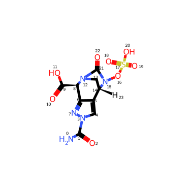 NC(=O)n1cc2c(n1)[C@@H](C(=O)O)N1C[C@@H]2N(OS(=O)(=O)O)C1=O